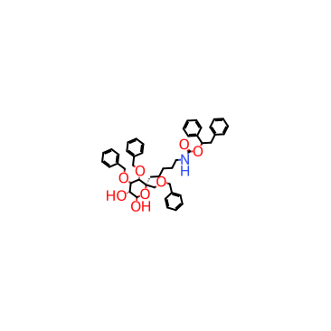 O=C(NCCCCC[C@]1(COCc2ccccc2)O[C@@H](O)[C@H](O)[C@@H](OCc2ccccc2)[C@@H]1OCc1ccccc1)OC(Cc1ccccc1)c1ccccc1